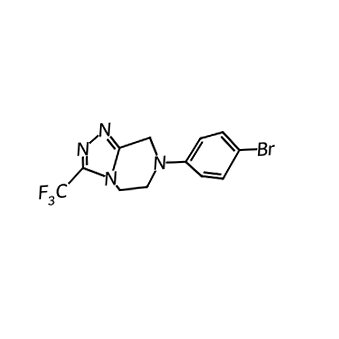 FC(F)(F)c1nnc2n1CCN(c1ccc(Br)cc1)C2